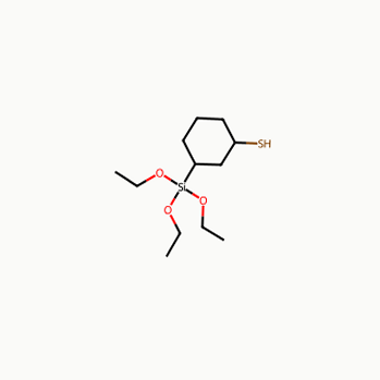 CCO[Si](OCC)(OCC)C1CCCC(S)C1